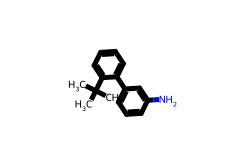 CC(C)(C)c1ccccc1-c1cccc(N)c1